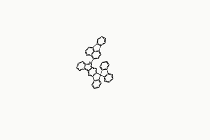 c1ccc2c(c1)-c1cccc3c(-n4c5ccccc5c5cc6c(cc54)C4(c5ccccc5-c5ccccc54)c4ccccc4-6)ccc-2c13